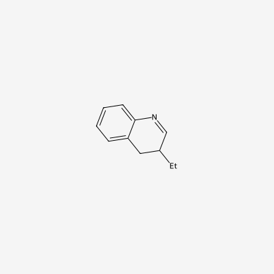 [CH2]CC1C=Nc2ccccc2C1